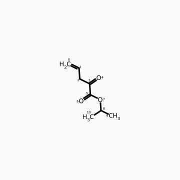 C=CCC(=O)C(=O)OC(C)C